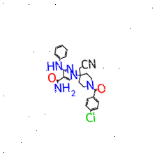 N#CCC1(n2cc(C(N)=O)c(Nc3ccccc3)n2)CCN(C(=O)c2ccc(Cl)cc2)CC1